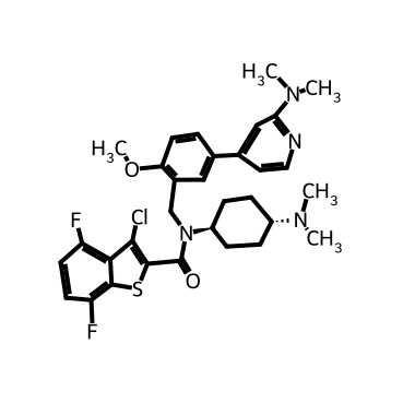 COc1ccc(-c2ccnc(N(C)C)c2)cc1CN(C(=O)c1sc2c(F)ccc(F)c2c1Cl)[C@H]1CC[C@H](N(C)C)CC1